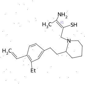 C=Cc1ccc(CCC2CCCCN2C/C(S)=C(\C)N)cc1CC